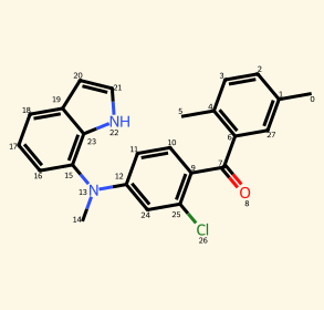 Cc1ccc(C)c(C(=O)c2ccc(N(C)c3cccc4cc[nH]c34)cc2Cl)c1